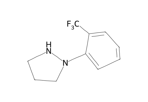 FC(F)(F)c1ccccc1N1CCCN1